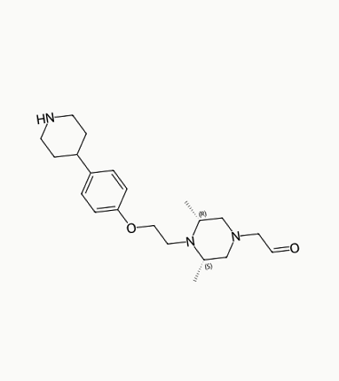 C[C@@H]1CN(CC=O)C[C@H](C)N1CCOc1ccc(C2CCNCC2)cc1